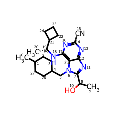 CC1CCC(Cn2c(C(C)O)nc3nc(C#N)nc(N[C@H](C)C4CCC4)c32)CC1